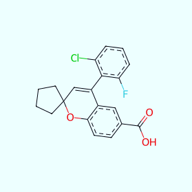 O=C(O)c1ccc2c(c1)C(c1c(F)cccc1Cl)=CC1(CCCC1)O2